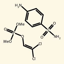 COP(=O)(OC)OC=C(Cl)Cl.Nc1ccc(S(N)(=O)=O)cc1